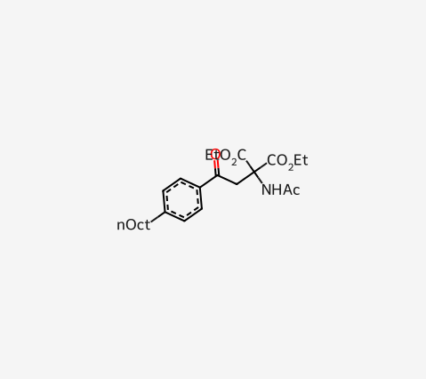 CCCCCCCCc1ccc(C(=O)CC(NC(C)=O)(C(=O)OCC)C(=O)OCC)cc1